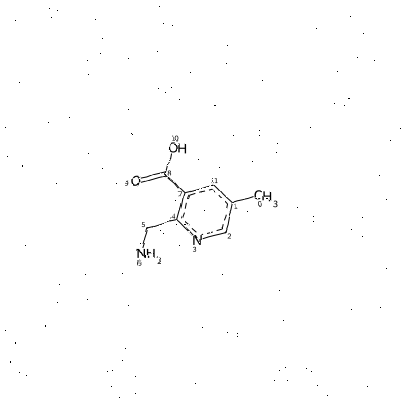 Cc1cnc(CN)c(C(=O)O)c1